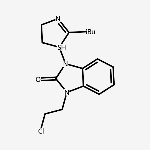 CCC(C)C1=NCC[SH]1n1c(=O)n(CCCl)c2ccccc21